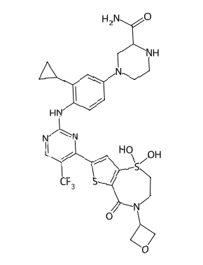 NC(=O)C1CN(c2ccc(Nc3ncc(C(F)(F)F)c(-c4cc5c(s4)C(=O)N(C4COC4)CCS5(O)O)n3)c(C3CC3)c2)CCN1